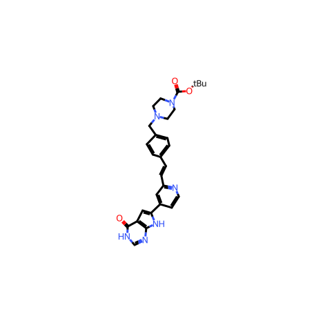 CC(C)(C)OC(=O)N1CCN(Cc2ccc(/C=C/c3cc(-c4cc5c(=O)[nH]cnc5[nH]4)ccn3)cc2)CC1